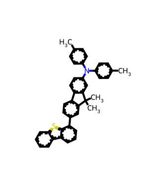 Cc1ccc(N(c2ccc(C)cc2)c2ccc3c(c2)C(C)(C)c2cc(-c4cccc5c4sc4ccccc45)ccc2-3)cc1